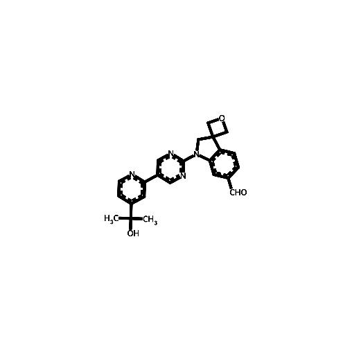 CC(C)(O)c1ccnc(-c2cnc(N3CC4(COC4)c4ccc(C=O)cc43)nc2)c1